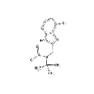 CC(C)(C)N(Cc1nc2c(Br)cccc2[nH]1)C(=O)O